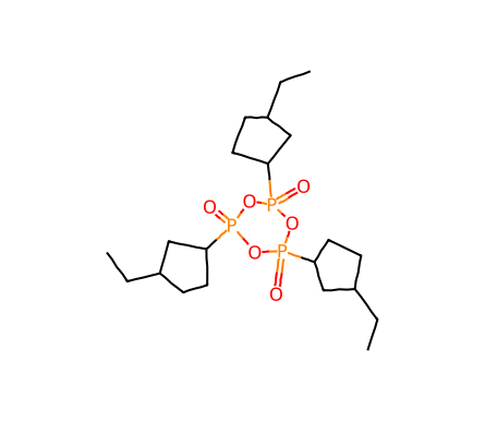 CCC1CCC(P2(=O)OP(=O)(C3CCC(CC)C3)OP(=O)(C3CCC(CC)C3)O2)C1